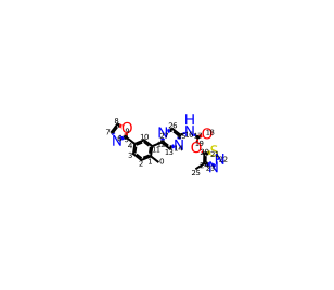 Cc1ccc(-c2ncco2)cc1-c1cnc(NC(=O)Oc2snnc2C)cn1